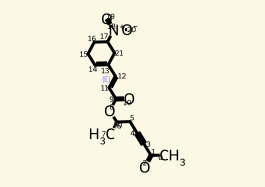 CC(=O)C#CC[C@@H](C)OC(=O)/C=C/C1=CCCC([N+](=O)[O-])C1